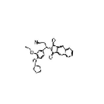 CCOc1cc(C(CC#N)N2C(=O)c3cc4ccccc4cc3C2=O)ccc1OC1CCCC1